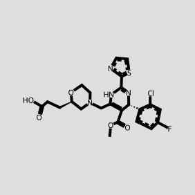 COC(=O)C1=C(CN2CCO[C@H](CCC(=O)O)C2)NC(c2nccs2)=N[C@@H]1c1ccc(F)cc1Cl